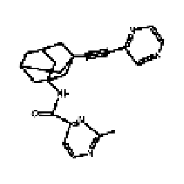 Cc1nccc(C(=O)NC23CC4CC(CC(C#Cc5cnccn5)(C4)C2)C3)n1